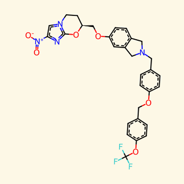 O=[N+]([O-])c1cn2c(n1)O[C@H](COc1ccc3c(c1)CN(Cc1ccc(OCc4ccc(OC(F)(F)F)cc4)cc1)C3)CC2